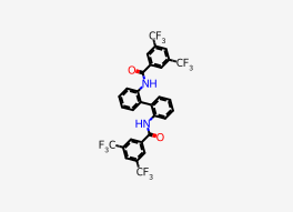 O=C(Nc1ccccc1-c1ccccc1NC(=O)c1cc(C(F)(F)F)cc(C(F)(F)F)c1)c1cc(C(F)(F)F)cc(C(F)(F)F)c1